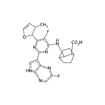 CC1C=COC1c1nc(-c2c[nH]c3ncc(F)nc23)nc(NC2C3CCC(CC3)C2C(=O)O)c1F